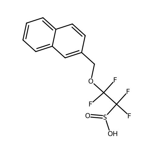 O=S(O)C(F)(F)C(F)(F)OCc1ccc2ccccc2c1